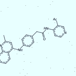 CC(=O)c1cnccc1NC(=O)Cc1ccc(Nc2cc(C)nc3ccccc23)cc1